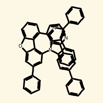 c1ccc(-c2ccc(-c3nc(-c4ccccc4)nc(-c4cccc5oc6cc(-c7ccccc7)cc(-n7c8ccccc8c8ccccc87)c6c45)n3)cc2)cc1